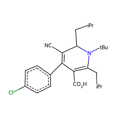 CC(C)CC1=C(C(=O)O)C(c2ccc(Cl)cc2)=C(C#N)C(CC(C)C)N1C(C)(C)C